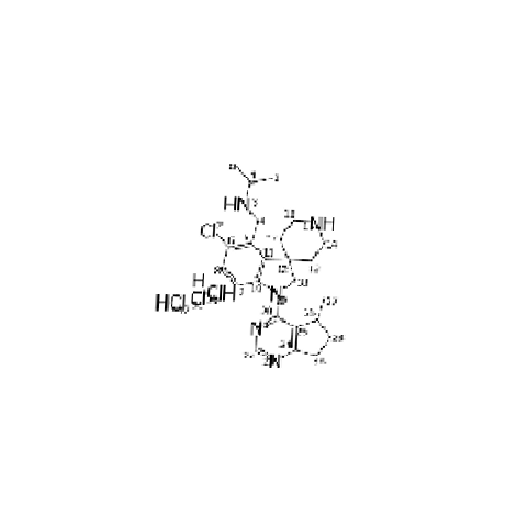 CC(C)NCc1c(Cl)ccc2c1C1(CCNCC1)CN2c1ncnc2c1C(C)CC2.Cl.Cl.Cl